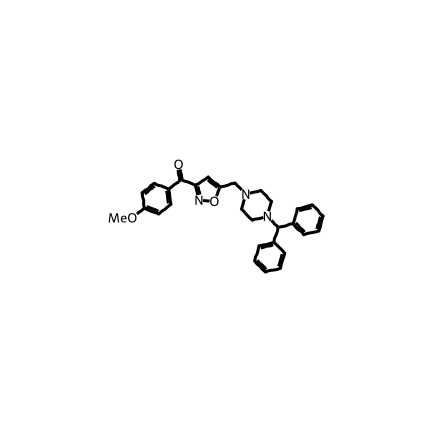 COc1ccc(C(=O)c2cc(CN3CCN(C(c4ccccc4)c4ccccc4)CC3)on2)cc1